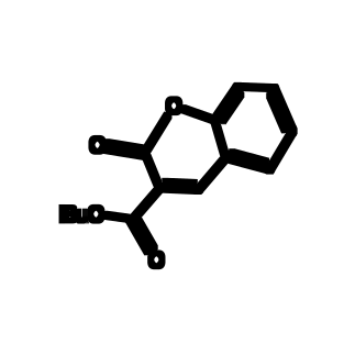 CC(C)COC(=O)c1cc2ccccc2oc1=O